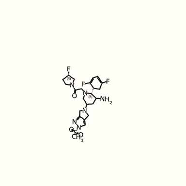 CS(=O)(=O)n1cc2c(n1)CN(C1CC(N)[C@@H](C3CC(F)=CC=C3F)N(CC(=O)N3CC[C@@H](F)C3)C1)C2